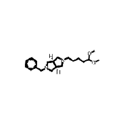 COC(CCCCN1C[C@@H]2CN(Cc3ccccc3)C[C@@H]2C1)OC